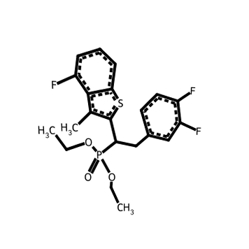 CCOP(=O)(OCC)C(Cc1ccc(F)c(F)c1)c1sc2cccc(F)c2c1C